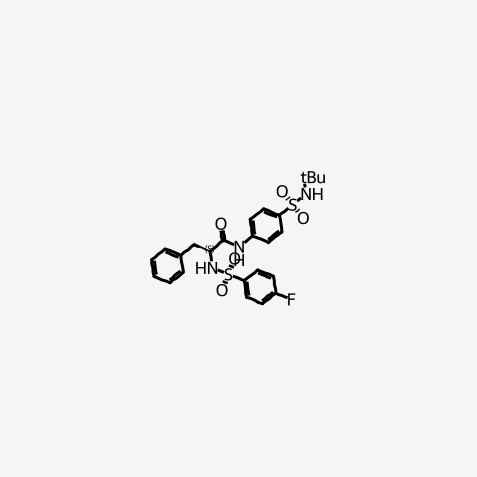 CC(C)(C)NS(=O)(=O)c1ccc(NC(=O)[C@H](Cc2ccccc2)NS(=O)(=O)c2ccc(F)cc2)cc1